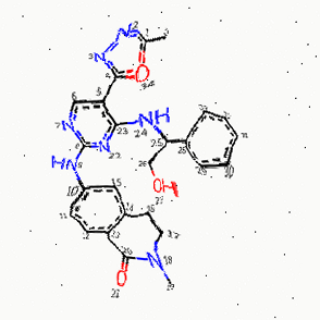 Cc1nnc(-c2cnc(Nc3ccc4c(c3)CCN(C)C4=O)nc2N[C@H](CO)c2ccccc2)o1